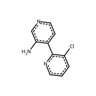 Nc1cnccc1-c1ncccc1Cl